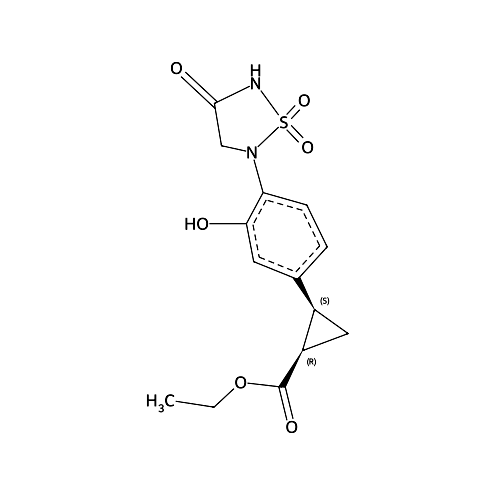 CCOC(=O)[C@@H]1C[C@@H]1c1ccc(N2CC(=O)NS2(=O)=O)c(O)c1